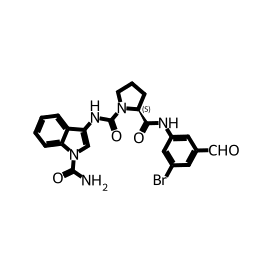 NC(=O)n1cc(NC(=O)N2CCC[C@H]2C(=O)Nc2cc(Br)cc(C=O)c2)c2ccccc21